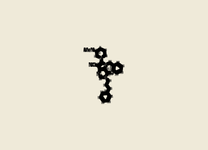 CN[C@H]1CCCN(c2c(C#N)c3ncn(CCCc4ccccc4)c(=O)c3n2Cc2ccccc2)C1